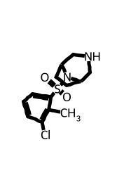 Cc1c(Cl)cccc1S(=O)(=O)N1C2CCC1CNC2